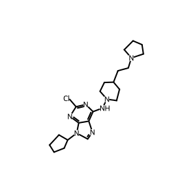 Clc1nc(NN2CCC(CCN3CCCC3)CC2)c2ncn(C3CCCC3)c2n1